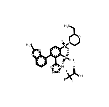 NCC1CN(S(=O)(=O)c2ccc(-c3cccc4sc(N)nc34)c(-c3nnn[nH]3)c2S(N)(=O)=O)CCO1.O=C(O)C(F)(F)F